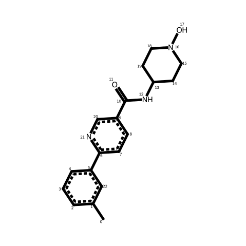 Cc1cccc(-c2ccc(C(=O)NC3CCN(O)CC3)cn2)c1